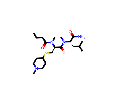 CCCC(=O)N(C)[C@H](CSC1CCN(C)CC1)C(=O)N(C)[C@@H](CC(C)C)C(N)=O